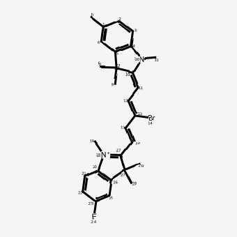 Cc1ccc2c(c1)C(C)(C)\C(=C/C=C(Br)/C=C/C1=[N+](C)c3ccc(F)cc3C1(C)C)N2C